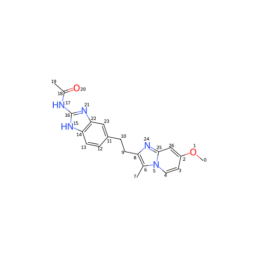 COc1ccn2c(C)c(CCc3ccc4[nH]c(NC(C)=O)nc4c3)nc2c1